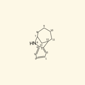 c1ccc2c(c1)NC1CCCCC2C1